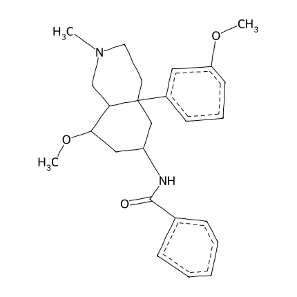 COc1cccc(C23CCN(C)CC2C(OC)CC(NC(=O)c2ccccc2)C3)c1